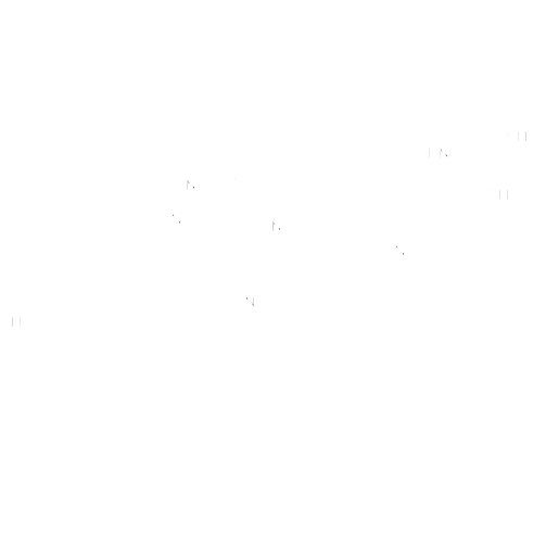 Cc1ccc(-c2cccc3[nH]c(-c4n[nH]c5ccc(-c6cncc(NC(C)C)c6)nc45)cc23)s1